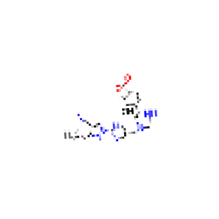 CCc1nn(-c2ncc(CN3CCNC(c4ccc5c(c4C)COC5=O)C3)cn2)cc1C#N